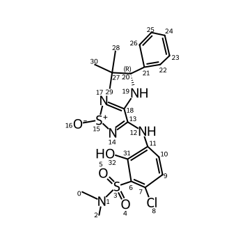 CN(C)S(=O)(=O)c1c(Cl)ccc(Nc2n[s+]([O-])nc2N[C@@H](c2ccccc2)C(C)(C)C)c1O